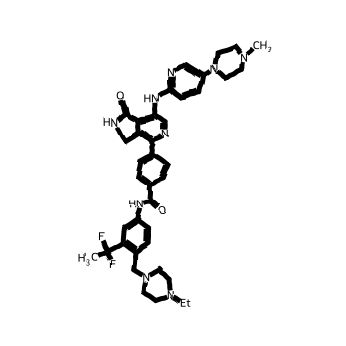 CCN1CCN(Cc2ccc(NC(=O)c3ccc(-c4ncc(Nc5ccc(N6CCN(C)CC6)cn5)c5c4CNC5=O)cc3)cc2C(C)(F)F)CC1